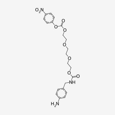 Nc1ccc(CNC(=O)OCCOCCOCCOC(=O)Oc2ccc([N+](=O)[O-])cc2)cc1